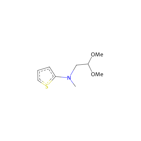 COC(CN(C)c1cccs1)OC